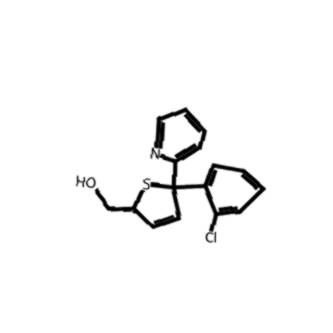 OCC1C=CC(c2ccccn2)(c2ccccc2Cl)S1